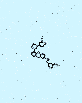 CCOc1cncc(CNc2ccc3c(c2)Cc2cccc(C4CN(c5cc[nH]c(=O)c5)CCO4)c2O3)c1